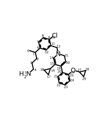 CC(CCCN)c1ccc(Cl)c(CN2C=C(C3CC3)C(c3ccccc3OC3CC3)=CC2)c1